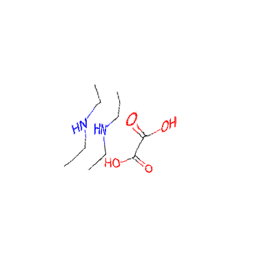 CCNCC.CCNCC.O=C(O)C(=O)O